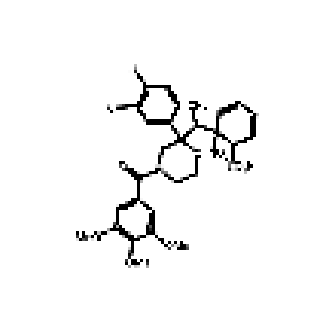 COc1cc(C(=O)N2CCOC(c3ccc(Cl)c(Cl)c3)(C(C)C3([N+](=O)[O-])C=CC=CC3S(=O)(=O)O)C2)cc(OC)c1OC